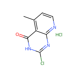 Cc1ccnc2nc(Cl)[nH]c(=O)c12.Cl